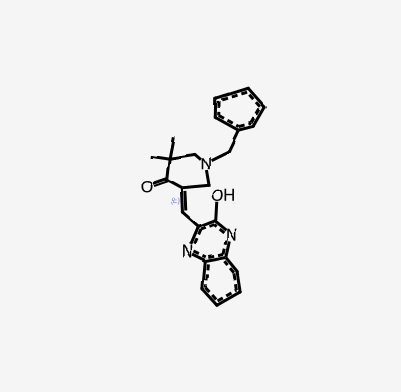 CC1(C)CN(Cc2ccccc2)C/C(=C\c2nc3ccccc3nc2O)C1=O